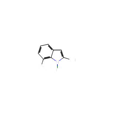 Cc1cc2cccc(C(=O)O)c2n1F